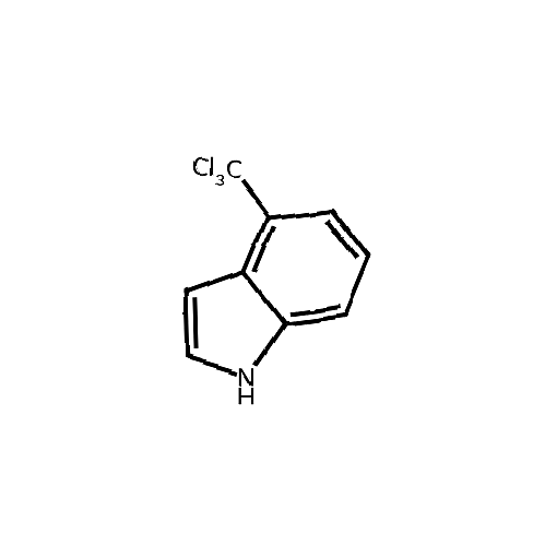 ClC(Cl)(Cl)c1cccc2[nH]ccc12